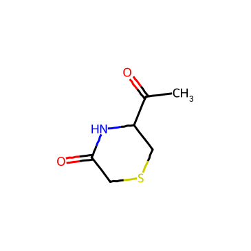 CC(=O)C1CSCC(=O)N1